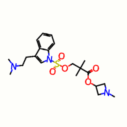 CN(C)CCc1cn(S(=O)(=O)OCC(C)(C)C(=O)OC2CN(C)C2)c2ccccc12